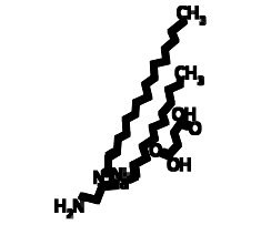 CCCCCCCCCCC=[CH][Na].CCCCCCCCCCCCCCCC=Cc1nc(CCN)c[nH]1.O=C(O)CCC(=O)O